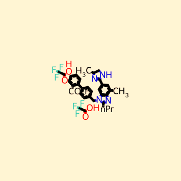 CCCc1nc2c(C)cc(C3=NC(C)CN3)cc2n1Cc1ccc(-c2ccccc2C(=O)O)cc1.O=C(O)C(F)(F)F.O=C(O)C(F)(F)F